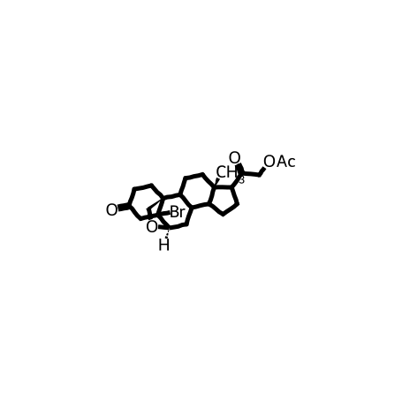 CC(=O)OCC(=O)C1CCC2C3C[C@H]4OC[C@@]5(CCC(=O)CC45Br)C3CC[C@]12C